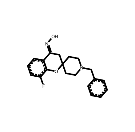 ON=C1CC2(CCN(Cc3ccccc3)CC2)Oc2c(F)cccc21